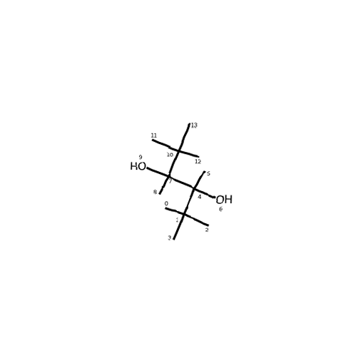 CC(C)(C)C(C)(O)C(C)(O)C(C)(C)C